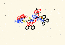 COC(Cn1c(SC=CC2=C(C(=O)OC(c3ccccc3)c3ccccc3)N3C(=O)C(NC(=O)C(=NOC(C)(C)C(=O)OC(C)(C)C)c4csc(NC(c5ccccc5)(c5ccccc5)c5ccccc5)n4)C3SC2)n[nH]c(=O)c1=O)OC